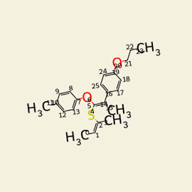 C/C=C(/C)S/C(Oc1ccc(C)cc1)=C(\C)c1ccc(OCCC)cc1